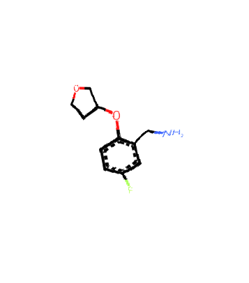 NCc1cc(F)ccc1OC1CCOC1